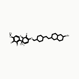 CCCC1CCC2CC(CCC3CCC(COC4=C(F)C(F)C(C)(c5ccc(OCC)c(F)c5F)C=C4)CC3)CCC2C1